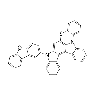 c1ccc2c(c1)Sc1cc3c(c4ccccc4n3-c3ccc4oc5ccccc5c4c3)c3c4ccccc4n-2c13